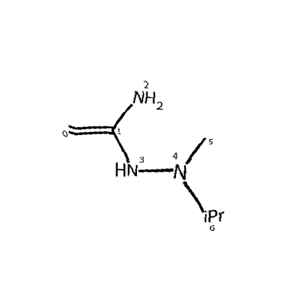 C=C(N)NN(C)C(C)C